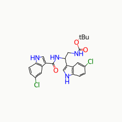 CC(C)(C)OC(=O)NCC(NC(=O)c1c[nH]c2ccc(Cl)cc12)c1c[nH]c2ccc(Cl)cc12